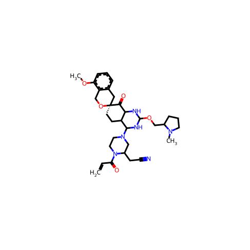 C=CC(=O)N1CCN(C2NC(OCC3CCCN3C)NC3C(=O)[C@]4(CCC32)Cc2cccc(OC)c2CO4)CC1CC#N